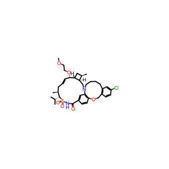 COCCO[C@H]1/C=C/C[C@H](C)[C@@H](C(C)C)S(=O)(=O)NC(=O)c2ccc3c(c2)N(CCCCc2cc(Cl)ccc2CO3)C[C@H]2[C@H]1C[C@H]2C